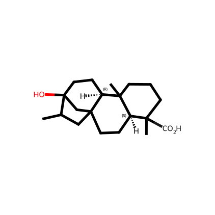 CC1CC23CC[C@@H]4C(C)(C(=O)O)CCCC4(C)[C@@H]2CCC1(O)C3